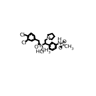 CN(C(=O)Cc1ccc(Cl)c(Cl)c1)C(CN1CCCC1)c1cccc(NS(C)(=O)=O)c1.Cl